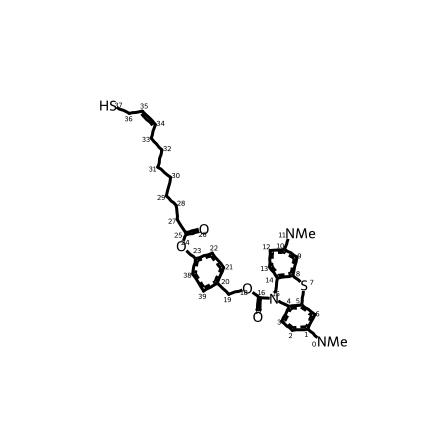 CNc1ccc2c(c1)Sc1cc(NC)ccc1N2C(=O)OCc1ccc(OC(=O)CCCCCCC/C=C\CS)cc1